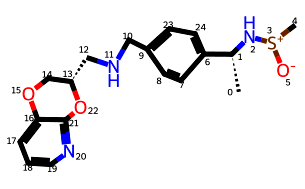 C[C@@H](N[S+](C)[O-])c1ccc(CNC[C@H]2COc3cccnc3O2)cc1